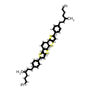 CC(C)CCCC(C)CCc1ccc(-c2cc3c(s2)C2C=Cc4c(sc5cc(-c6ccc(CCC(C)CCCC(C)C)cc6)sc45)C2S3)cc1